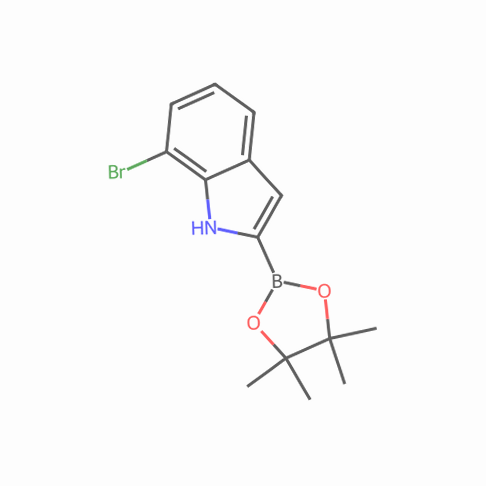 CC1(C)OB(c2cc3cccc(Br)c3[nH]2)OC1(C)C